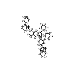 C1=CC(c2cccc(-c3ccc4cc5c(cc4c3)c(-c3ccccc3)c(-c3ccccc3)n5-c3ccc(-c4cn5ccccc5n4)cc3)n2)CC=N1